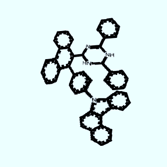 c1ccc(C2=NC(c3c(-c4ccc(-n5c6ccccc6c6c7ccccc7ccc65)cc4)c4ccccc4c4ccccc34)NC(c3ccccc3)N2)cc1